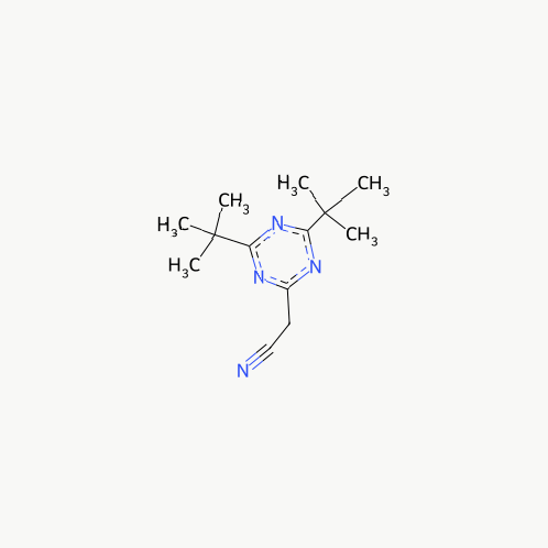 CC(C)(C)c1nc(CC#N)nc(C(C)(C)C)n1